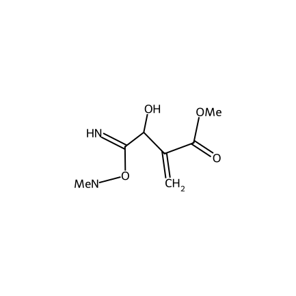 C=C(C(=O)OC)C(O)C(=N)ONC